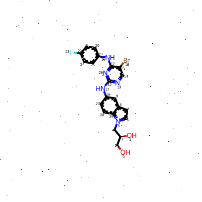 OC[C@H](O)Cn1ccc2cc(Nc3ncc(Br)c(Nc4ccc(F)cc4)n3)ccc21